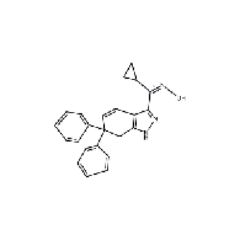 O/N=C(\c1n[nH]c2c1C=CC(c1ccccc1)(c1ccccc1)C2)C1CC1